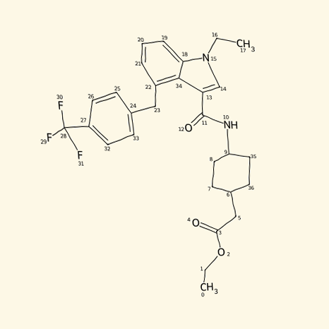 CCOC(=O)CC1CCC(NC(=O)c2cn(CC)c3cccc(Cc4ccc(C(F)(F)F)cc4)c23)CC1